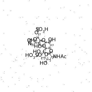 CC(=O)NC1C[C@H](O)C(COS(=O)(=O)O)O[C@H]1O[C@H]1CC(O)[C@H](OC2C(O)[C@H](/C=N\O)O[C@@H]2COS(=O)(=O)O)OC1C(=O)O